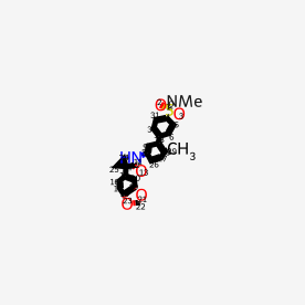 CNS(=O)(=O)c1ccc(-c2cc(NC(=O)C3(c4ccc5c(c4)OCO5)CC3)ccc2C)cc1